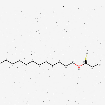 CCCCCCCCCCCCOC(=S)CC